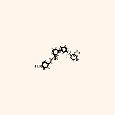 C[C@H]1CNCCN1S(=O)(=O)c1cccc(-c2ccnc(NCCc3ccc(O)cc3)n2)c1